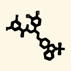 CN(CC(CCN1CCC2(CC1)CN(S(C)(=O)=O)c1ccccc12)c1ccc(Cl)c(Cl)c1)C(=O)c1cc(F)cc(F)c1